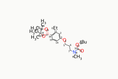 CCc1cc(OCCCN(C)C(=O)OC(C)(C)C)ccc1B1OC(C)(C)C(C)(C)O1